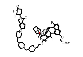 C#Cc1c(F)ccc2cc(OCOC)cc(-c3ncc4c(N5CC6CCC(C5)N6C(=O)OC(C)(C)C)nc(OCCN5CCC(CN6CCC(CC7CCN(c8ccc9c(c8)CN(C8CCC(=O)NC8=O)C9=O)CC7)CC6)CC5)nc4c3F)c12